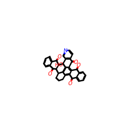 O=C1c2ccccc2C(=O)c2c1c1c3c4c2C(=O)c2ccncc2C4(O)C2C(=O)c4ccccc4C(=O)C2C3CCC1